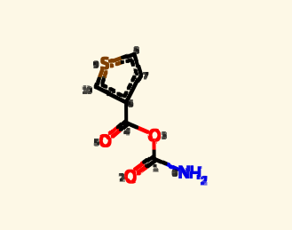 NC(=O)OC(=O)c1ccsc1